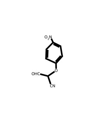 N#CC(C=O)Oc1ccc([N+](=O)[O-])cc1